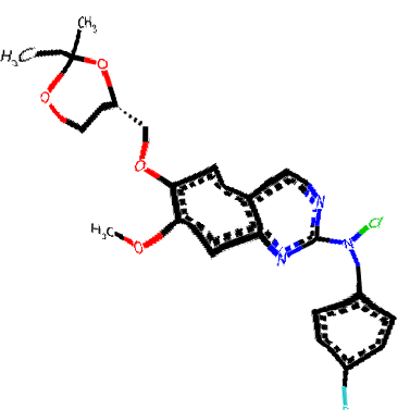 COc1cc2nc(N(Cl)c3ccc(F)cc3)ncc2cc1OC[C@@H]1COC(C)(C)O1